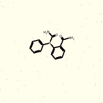 NC(=O)c1ccccc1N(C(N)=O)c1ccccc1